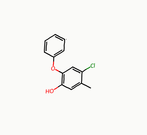 Cc1cc(O)c(Oc2c[c]ccc2)cc1Cl